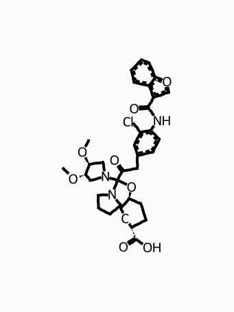 CO[C@H]1CN(C(O[C@H]2CC[C@H](C(=O)O)CC2)(C(=O)Cc2ccc(NC(=O)c3coc4ccccc34)c(Cl)c2)N2CCCC2)C[C@@H]1OC